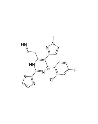 Cn1ccc(C2=C(CN=N)NC(c3nccs3)=N[C@H]2c2ccc(F)cc2Cl)n1